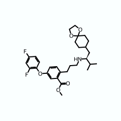 COC(=O)c1cc(Oc2ccc(F)cc2F)ccc1CCCN[C@@H](CC1CCC2(CC1)OCCO2)C(C)C